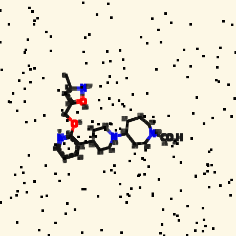 Cc1cc(COc2ncccc2C2CCN(C3CCCN(C(=O)O)CC3)CC2)on1